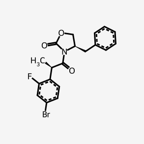 C[C@@H](C(=O)N1C(=O)OC[C@H]1Cc1ccccc1)c1ccc(Br)cc1F